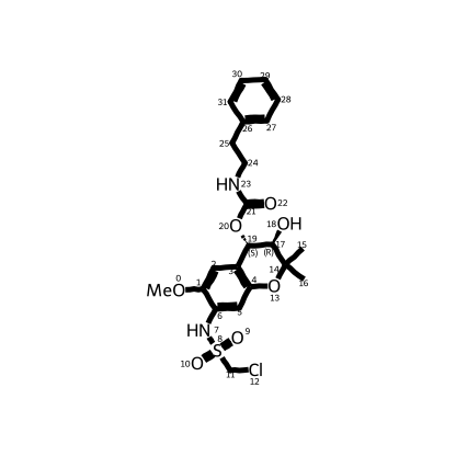 COc1cc2c(cc1NS(=O)(=O)CCl)OC(C)(C)[C@H](O)[C@H]2OC(=O)NCCc1ccccc1